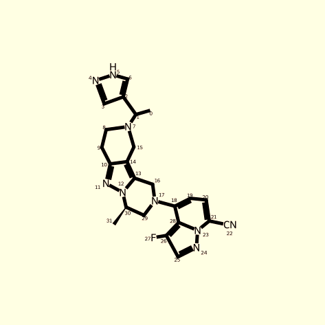 CC(c1cn[nH]c1)N1CCc2nn3c(c2C1)CN(c1ccc(C#N)n2ncc(F)c12)C[C@H]3C